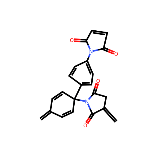 C=C1C=CC(c2ccc(N3C(=O)C=CC3=O)cc2)(N2C(=O)CC(=C)C2=O)C=C1